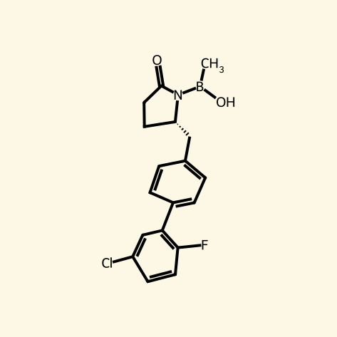 CB(O)N1C(=O)CC[C@H]1Cc1ccc(-c2cc(Cl)ccc2F)cc1